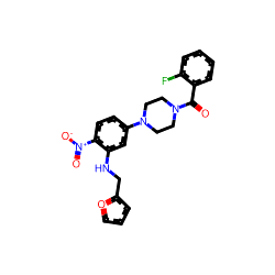 O=C(c1ccccc1F)N1CCN(c2ccc([N+](=O)[O-])c(NCc3ccco3)c2)CC1